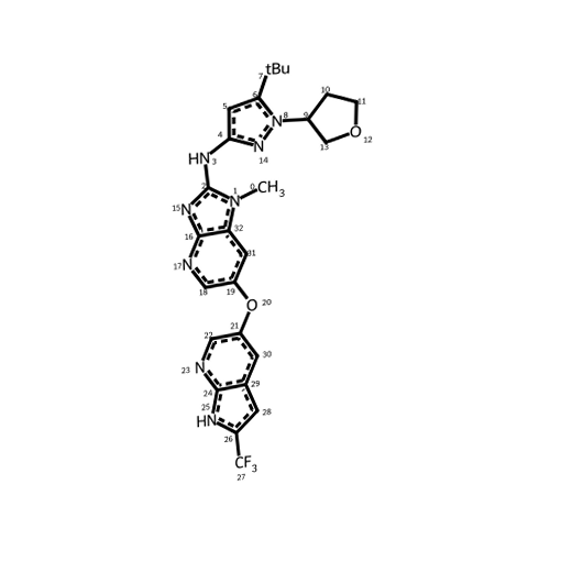 Cn1c(Nc2cc(C(C)(C)C)n(C3CCOC3)n2)nc2ncc(Oc3cnc4[nH]c(C(F)(F)F)cc4c3)cc21